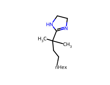 CCCCCCCCC(C)(C)C1=NCCN1